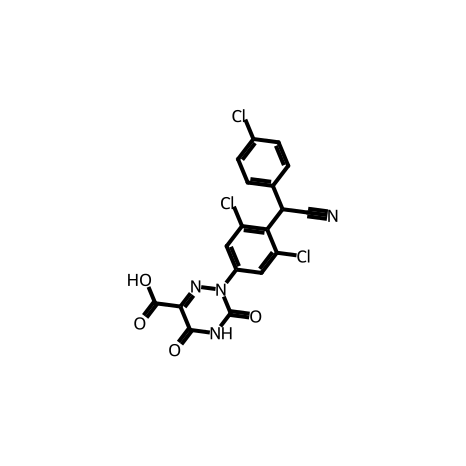 N#CC(c1ccc(Cl)cc1)c1c(Cl)cc(-n2nc(C(=O)O)c(=O)[nH]c2=O)cc1Cl